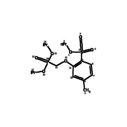 CCCOS(=O)(=O)c1ccc(C)cc1OCP(=O)(OC(C)C)OC(C)C